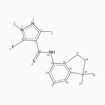 Cc1nn(C)c(F)c1C(=S)Nc1cccc2c1CCC2(C)C